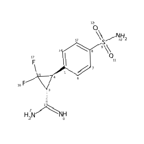 N=C(N)[C@H]1[C@H](c2ccc(S(N)(=O)=O)cc2)C1(F)F